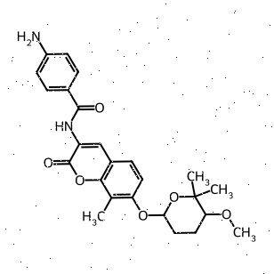 COC1CCC(Oc2ccc3cc(NC(=O)c4ccc(N)cc4)c(=O)oc3c2C)OC1(C)C